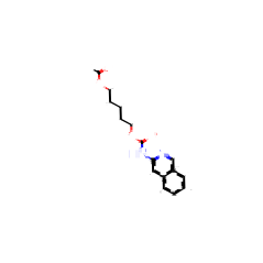 CC(=O)OCCCCCOC(=O)Nc1cc2ccccc2cn1